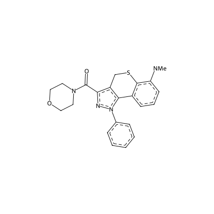 CNc1cccc2c1SCc1c(C(=O)N3CCOCC3)nn(-c3ccccc3)c1-2